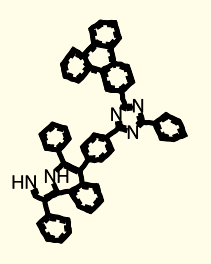 N=C/C(=C1\NC(c2ccccc2)=C(c2ccc(-c3nc(-c4ccccc4)nc(-c4ccc5c6ccccc6c6ccccc6c5c4)n3)cc2)c2ccccc21)c1ccccc1